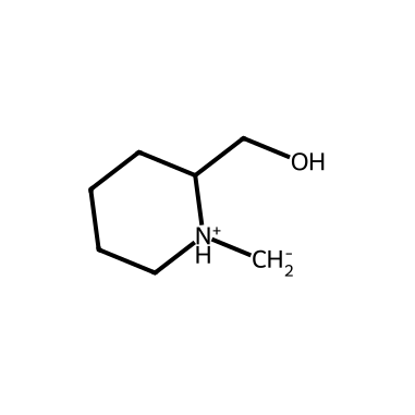 [CH2-][NH+]1CCCCC1CO